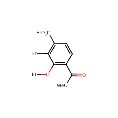 CCOC(=O)c1ccc(C(=O)OC)c(OCC)c1CC